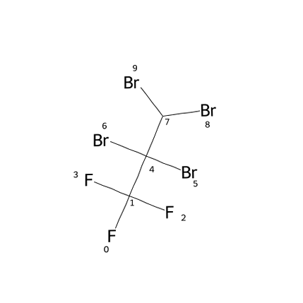 FC(F)(F)C(Br)(Br)C(Br)Br